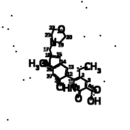 CCc1cc(C(=O)O)c(=O)[nH]c1-c1cc2cc(CN3CCOCC3)n(C)c2cc1Cl